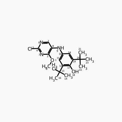 COc1nc(Cl)ncc1Nc1cc(C(C)(C)C)c(O)c(C(C)(C)C)c1